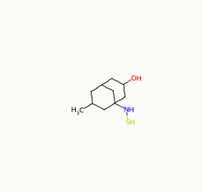 CC1CC2CC(O)CC(NS)(C1)C2